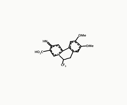 COc1cc2c(cc1OC)-c1cc(=N)c(C(=O)O)cn1C(C(F)(F)F)C2